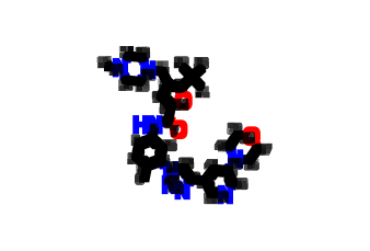 Cc1ccc(NC(=O)c2cc(CN3CCN(C)CC3)c(C(C)(C)C)o2)cc1-n1cc(-c2cncc(N3CCOCC3)c2)nn1